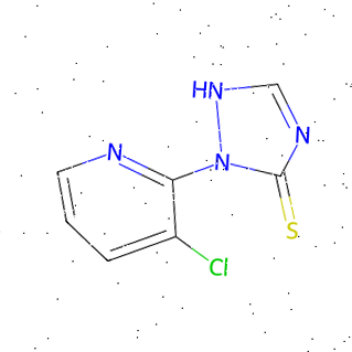 S=c1nc[nH]n1-c1ncccc1Cl